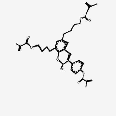 C=C(C)C(=O)OCCCCc1cc2c(c(CCCCOC(=O)C(=C)C)c1)OC(O)C(c1ccc(OC(=O)C(=C)C)cc1)=C2